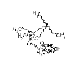 CC(=O)O.CC(=O)O.CC(=O)O.CCCCCCC(CCCCCC)(CCCCCC)CCCCCC(CCCCCC)(CCCCCC)C(=O)OCC